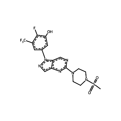 CS(=O)(=O)N1CCN(c2ncc3c(cnn3-c3cc(O)c(F)c(C(F)(F)F)c3)n2)CC1